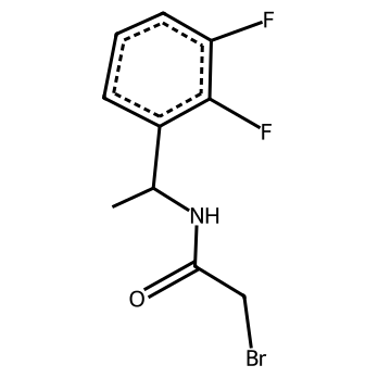 CC(NC(=O)CBr)c1cccc(F)c1F